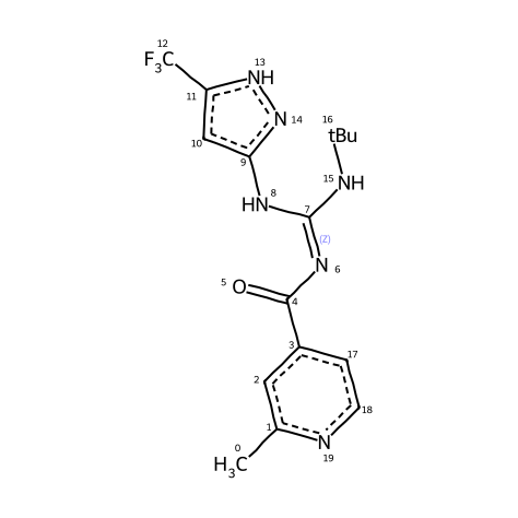 Cc1cc(C(=O)/N=C(\Nc2cc(C(F)(F)F)[nH]n2)NC(C)(C)C)ccn1